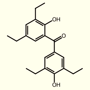 CCc1cc(CC)c(O)c(C(=O)c2cc(CC)c(O)c(CC)c2)c1